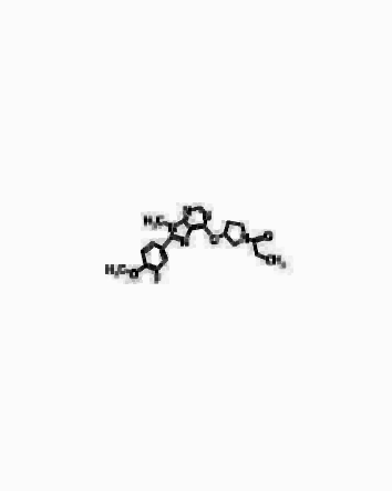 CCC(=O)N1CCC(Oc2ncnc3c2nc(-c2ccc(OC)c(F)c2)n3C)C1